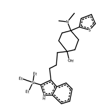 CC[Si](CC)(CC)c1[nH]c2ccccc2c1CCCC1(O)CCC(c2cccs2)(N(C)C)CC1